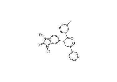 CCn1c(=O)n(CC)c2cc(C(CC(=O)c3cccnc3)C(=O)c3cccc(C)c3)ccc21